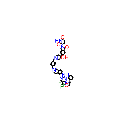 O=C1CCC(N2Cc3cc(C4(O)CCN(Cc5ccc(CN6CCc7cc(Nc8ncc(C(F)(F)F)c(N9OCC[C@H]9c9ccccc9)n8)ccc7C6)cc5)CC4)ccc3C2=O)C(=O)N1